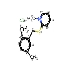 Cc1ccc(C)c(CSc2cccc[n+]2C)c1.[Cl-]